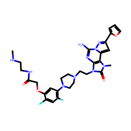 CNCCNC(=O)COc1cc(N2CCN(CCn3c(=O)n(C)c4c3nc(N)n3nc(-c5ccco5)cc43)CC2)c(F)cc1F